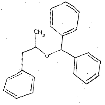 CC(Cc1ccccc1)OC(c1ccccc1)c1ccccc1